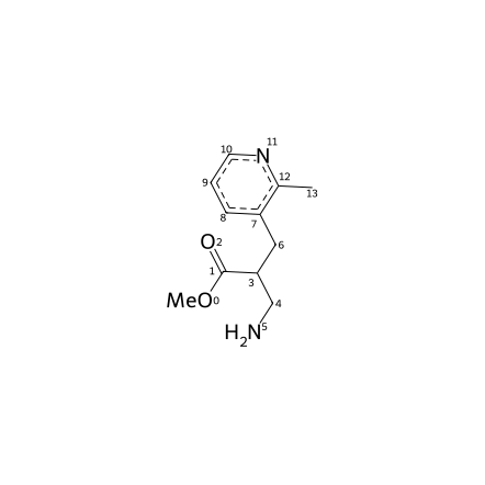 COC(=O)C(CN)Cc1cccnc1C